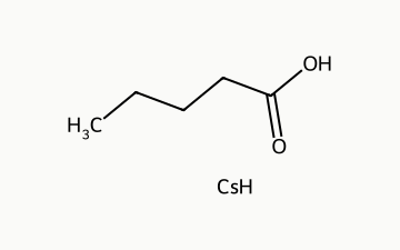 CCCCC(=O)O.[CsH]